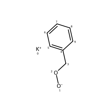 [K+].[O-]OCc1ccccc1